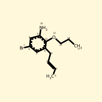 C/C=C/Cc1cc(Br)cc(N)c1OCCC